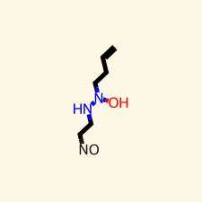 C=CCCN(O)NCCN=O